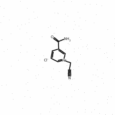 N#CC[n+]1cccc(C(N)=O)c1.[Cl-]